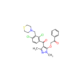 Cc1nn(C)c(OCC(=O)c2ccccc2)c1C(=O)c1ccc(Cl)c(CN2CCSCC2)c1Cl